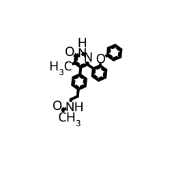 CC(=O)NCCc1ccc(-c2c(-c3ccccc3Oc3ccccc3)n[nH]c(=O)c2C)cc1